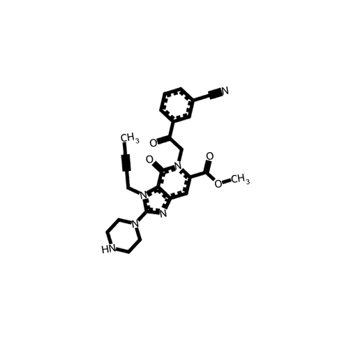 CC#CCn1c(N2CCNCC2)nc2cc(C(=O)OC)n(CC(=O)c3cccc(C#N)c3)c(=O)c21